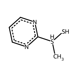 C[SH](S)c1ncccn1